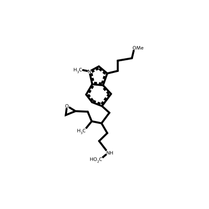 COCCCc1cn(C)c2ccc(CC(CCNC(=O)O)C(C)CC3CO3)cc12